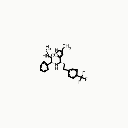 CNC(=O)[C@H](N[C@@H](CCc1ccc(C(F)(F)F)cc1)c1cc(C)no1)c1ccccc1